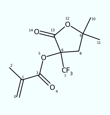 C=C(C)C(=O)OC1(C(F)(F)F)CC(C)(C)OC1=O